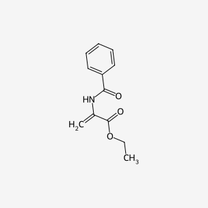 C=C(NC(=O)c1ccccc1)C(=O)OCC